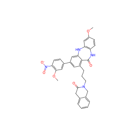 COc1ccc2c(c1)Nc1cc(-c3ccc([N+](=O)[O-])c(OC)c3)cc(CCCN3Cc4ccccc4CC3=O)c1C(=O)N2